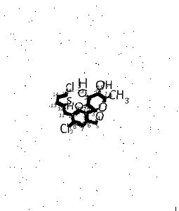 C[C@H]1O[C@]2(OCc3cc(Cl)c(Cc4ccc(Cl)s4)cc32)[C@H](O)[C@@H](O)[C@@H]1O